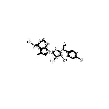 Cc1cn([C@@H]2O[C@H](C(O)c3ccc(Cl)cc3)[C@@H](O)[C@H]2O)c2[nH]cnc(=NO)c12